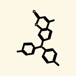 Cc1ccc(N(c2ccc(C)cc2)c2ccc3c(C)cc(=O)oc3c2)cc1